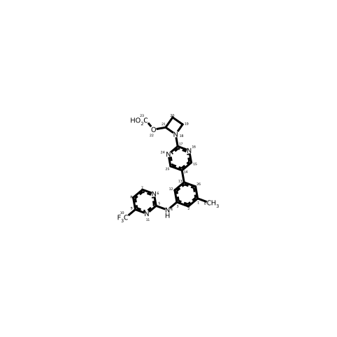 Cc1cc(Nc2nccc(C(F)(F)F)n2)cc(-c2cnc(N3CCC3OC(=O)O)nc2)c1